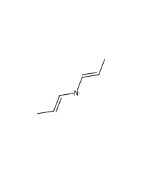 CC=C[N]C=CC